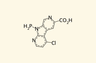 O=C(O)c1cc2c3c(Cl)ccnc3n(P)c2cn1